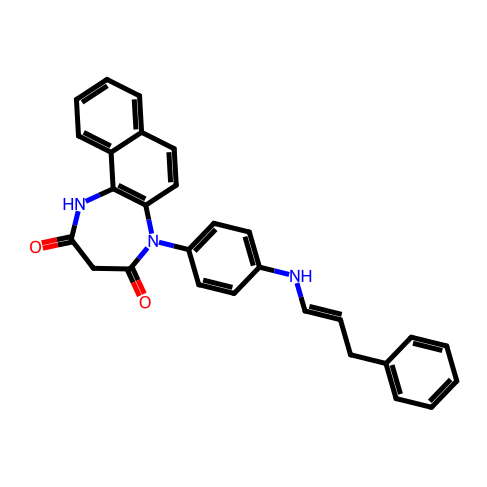 O=C1CC(=O)N(c2ccc(N/C=C/Cc3ccccc3)cc2)c2ccc3ccccc3c2N1